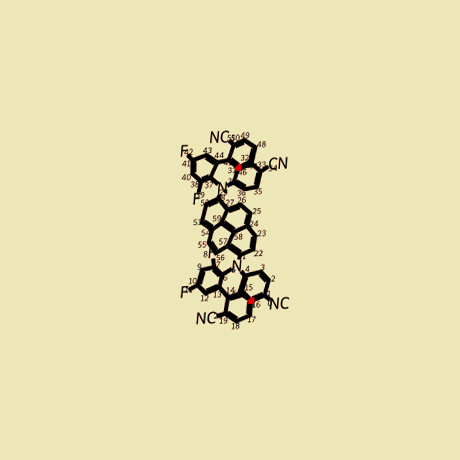 [C-]#[N+]c1ccc(N(c2c(F)cc(F)cc2-c2ccccc2C#N)c2ccc3ccc4c(N(c5ccc(C#N)cc5)c5c(F)cc(F)cc5-c5ccccc5C#N)ccc5ccc2c3c54)cc1